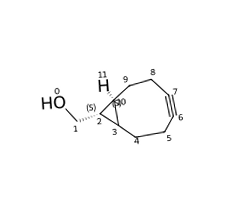 OC[C@H]1C2CCC#CCC[C@@H]21